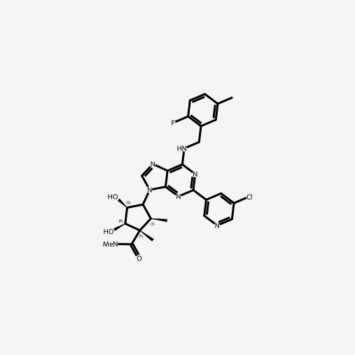 CNC(=O)[C@@]1(C)[C@H](C)C(n2cnc3c(NCc4cc(C)ccc4F)nc(-c4cncc(Cl)c4)nc32)[C@H](O)[C@@H]1O